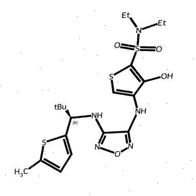 CCN(CC)S(=O)(=O)c1scc(Nc2nonc2N[C@@H](c2ccc(C)s2)C(C)(C)C)c1O